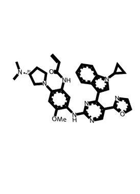 C=CC(=O)Nc1cc(Nc2ncc(-c3ncco3)c(-c3cn(C4CC4)c4ccccc34)n2)c(OC)cc1N1CC[C@@H](N(C)C)C1